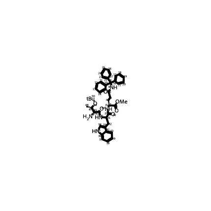 COC(=O)[C@H](CCC(=O)NC(c1ccccc1)(c1ccccc1)c1ccccc1)NC(=O)C(Cc1c[nH]c2ccccc12)NC(=O)[C@@H](N)[C@@H](C)OC(C)(C)C